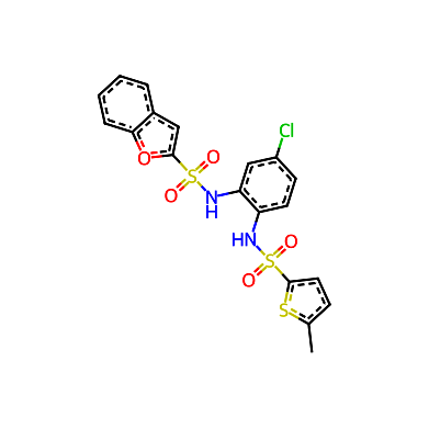 Cc1ccc(S(=O)(=O)Nc2ccc(Cl)cc2NS(=O)(=O)c2cc3ccccc3o2)s1